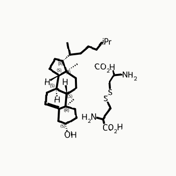 CC(C)CCCC(C)[C@H]1CC[C@H]2[C@@H]3CC=C4C[C@@H](O)CC[C@]4(C)[C@H]3CC[C@]12C.NC(CSSCC(N)C(=O)O)C(=O)O